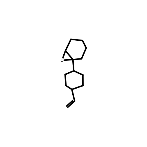 C=CC1CCC(C23CCCCC2O3)CC1